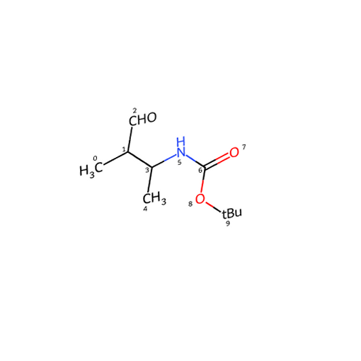 CC(C=O)C(C)NC(=O)OC(C)(C)C